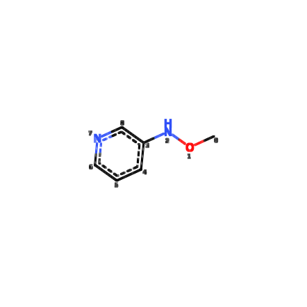 CONc1cccnc1